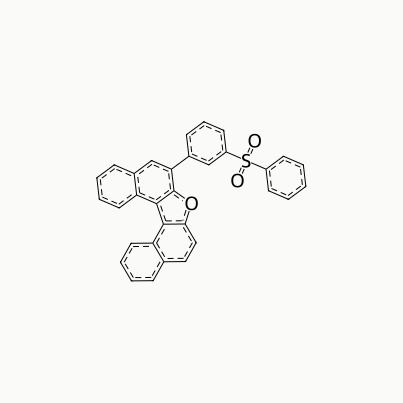 O=S(=O)(c1ccccc1)c1cccc(-c2cc3ccccc3c3c2oc2ccc4ccccc4c23)c1